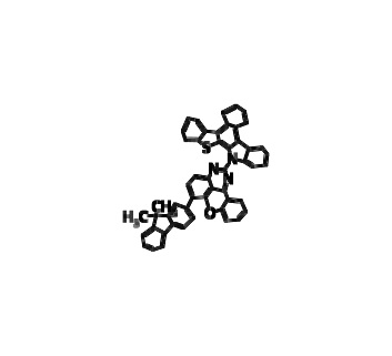 CC1(C)c2ccccc2-c2ccc(-c3ccc4nc(-n5c6ccccc6c6c7ccccc7c7c8ccccc8sc7c65)nc5c4c3Oc3ccccc3-5)cc21